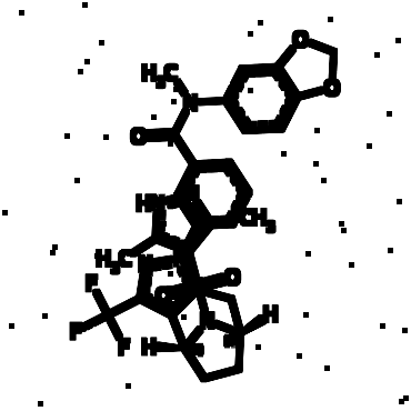 Cc1n[nH]c(C)c1S(=O)(=O)N1[C@H]2CC[C@@H]1c1c(C(F)(F)F)nn(-c3cccc(C(=O)N(C)c4ccc5c(c4)OCO5)c3)c1C2